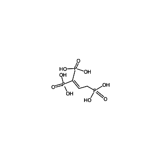 O=P(O)(O)CC=C(P(=O)(O)O)P(=O)(O)O